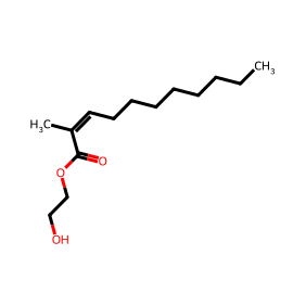 CCCCCCCCC=C(C)C(=O)OCCO